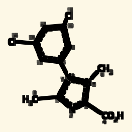 Cc1nc(C(=O)O)n(C)[n+]1-c1cc(Cl)cc(Cl)c1